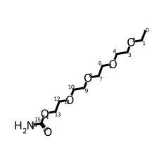 CCOCCOCCOCCOCCOC(N)=O